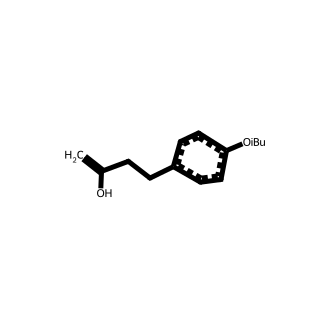 C=C(O)CCc1ccc(OCC(C)C)cc1